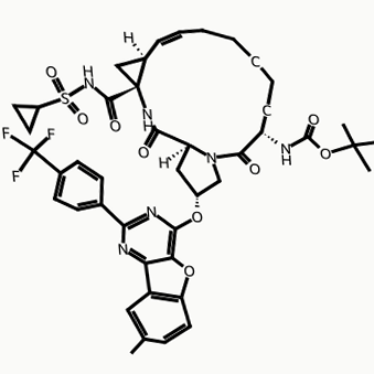 Cc1ccc2oc3c(O[C@@H]4C[C@H]5C(=O)N[C@]6(C(=O)NS(=O)(=O)C7CC7)C[C@H]6/C=C\CCCCC[C@H](NC(=O)OC(C)(C)C)C(=O)N5C4)nc(-c4ccc(C(F)(F)F)cc4)nc3c2c1